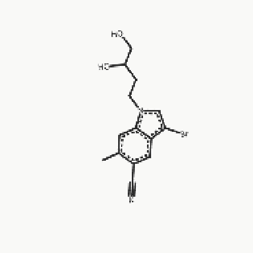 Cc1cc2c(cc1C#N)c(Br)cn2CCC(O)CO